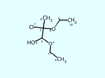 CCOC(O)C(C)(Cl)OCC